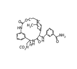 Cc1cc2ccc1CCOC(=O)Nc1cccc(c1)[C@@H](CC(=O)O)NC(=O)C2Nc1cccc(C(N)=O)c1